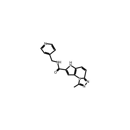 Cc1nnc2ccc3[nH]c(C(=O)NCc4ccncc4)cc3n12